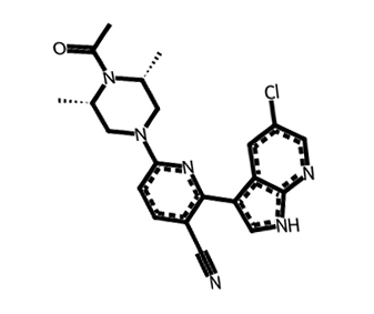 CC(=O)N1[C@H](C)CN(c2ccc(C#N)c(-c3c[nH]c4ncc(Cl)cc34)n2)C[C@@H]1C